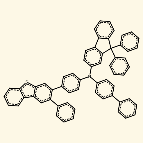 c1ccc(-c2ccc(N(c3ccc(-c4cc5sc6ccccc6c5cc4-c4ccccc4)cc3)c3ccc4c(c3)C(c3ccccc3)(c3ccccc3)c3ccccc3-4)cc2)cc1